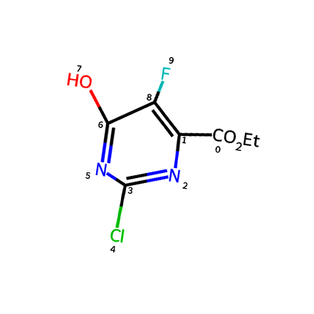 CCOC(=O)c1nc(Cl)nc(O)c1F